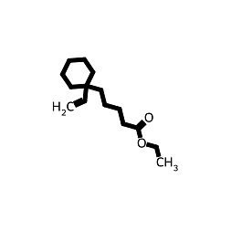 C=CC1(CCCCC(=O)OCC)CCCCC1